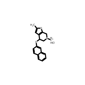 Cc1cc2c(o1)CN(C)CC2Oc1ccc2ccccc2c1.Cl